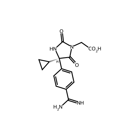 N=C(N)c1ccc([C@@]2(C3CC3)NC(=O)N(CC(=O)O)C2=O)cc1